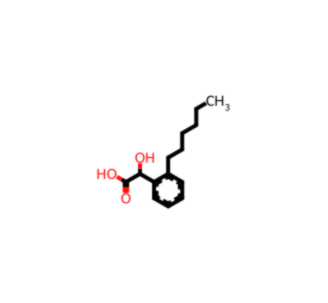 CCCCCCc1ccccc1C(O)C(=O)O